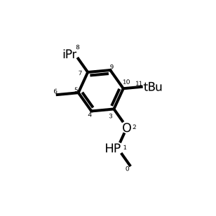 CPOc1cc(C)c(C(C)C)cc1C(C)(C)C